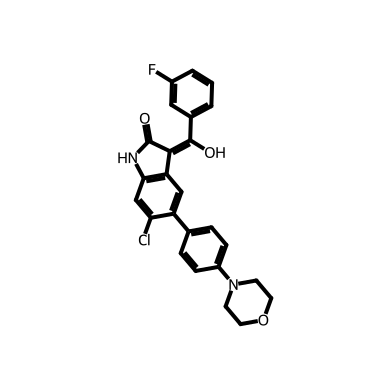 O=C1Nc2cc(Cl)c(-c3ccc(N4CCOCC4)cc3)cc2C1=C(O)c1cccc(F)c1